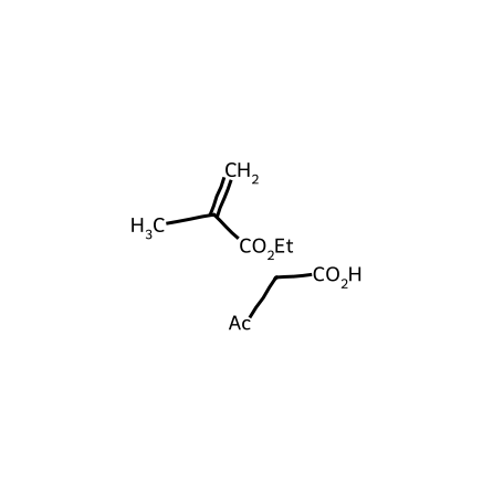 C=C(C)C(=O)OCC.CC(=O)CC(=O)O